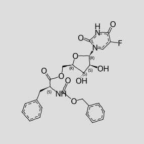 O=C(N[C@@H](Cc1ccccc1)C(=O)OC[C@H]1O[C@@H](n2cc(F)c(=O)[nH]c2=O)[C@@H](O)[C@@H]1O)OCc1ccccc1